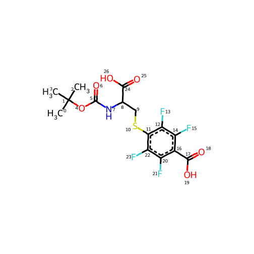 CC(C)(C)OC(=O)NC(CSc1c(F)c(F)c(C(=O)O)c(F)c1F)C(=O)O